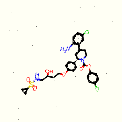 Nc1ccc(Cl)cc1C1=C[C@H](c2ccc(OCCC(O)CNS(=O)(=O)C3CC3)cc2)N(C(=O)Oc2ccc(Cl)cc2)CC1